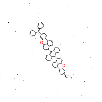 Cc1ccc2c(c1)Oc1ccc(-c3c4ccccc4c(-c4ccc5c6c(cccc46)-c4ccc([SiH](c6ccccc6)c6ccccc6)cc4O5)c4ccccc34)c3cccc-2c13